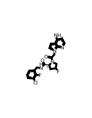 Nc1ccnc2c1ccn2CC(=O)N1CC(F)C[C@H]1C(=O)NCc1cccc(Cl)c1F